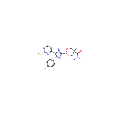 CSc1nccc(-c2[nH]c(C3OCC(C)(C(=O)N(C)C)CO3)nc2-c2ccc(F)cc2)n1